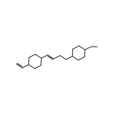 C=CC1CCC(C=CCCC2CCC(CCCCCC)CC2)CC1